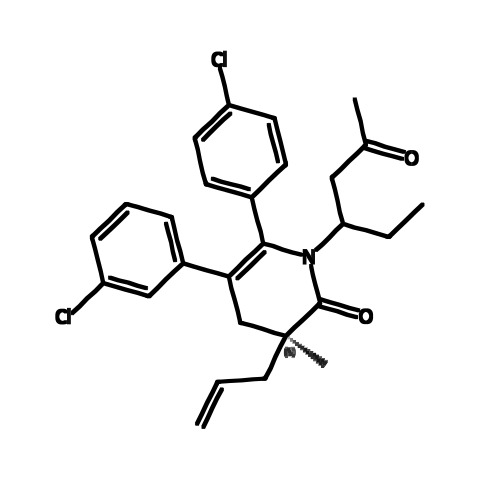 C=CC[C@@]1(C)CC(c2cccc(Cl)c2)=C(c2ccc(Cl)cc2)N(C(CC)CC(C)=O)C1=O